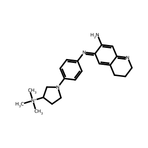 C[N+](C)(C)C1CCN(c2ccc(N=C3C=C4CCCN=C4C=C3N)cc2)C1